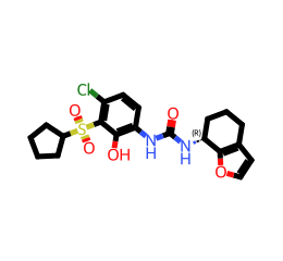 O=C(Nc1ccc(Cl)c(S(=O)(=O)C2CCCC2)c1O)N[C@@H]1CCCc2ccoc21